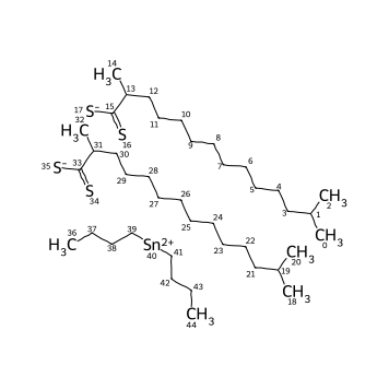 CC(C)CCCCCCCCCCC(C)C(=S)[S-].CC(C)CCCCCCCCCCC(C)C(=S)[S-].CCC[CH2][Sn+2][CH2]CCC